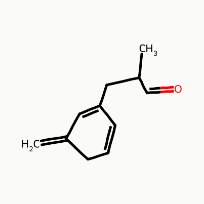 C=C1C=C(CC(C)C=O)C=CC1